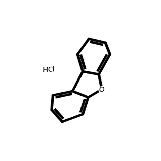 Cl.c1ccc2c(c1)oc1ccccc12